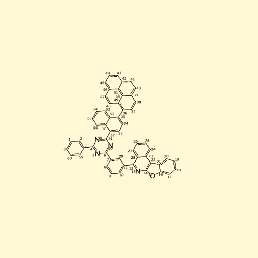 c1ccc(-c2nc(-c3cccc(-c4nc5oc6ccccc6c5c5ccccc45)c3)nc(-c3ccc(-c4ccc5ccc6cccc7ccc4c5c67)c4ccccc34)n2)cc1